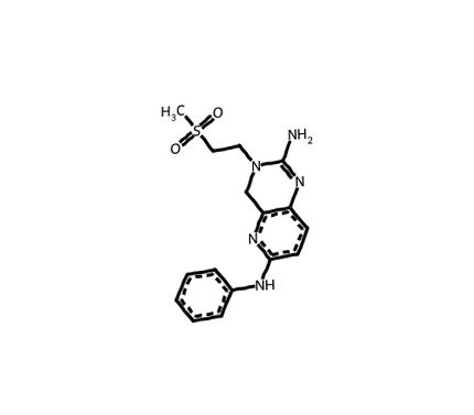 CS(=O)(=O)CCN1Cc2nc(Nc3ccccc3)ccc2N=C1N